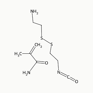 C=C(C)C(N)=O.NCCSSCCN=C=O